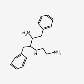 NCCNC(Cc1ccccc1)C(N)Cc1ccccc1